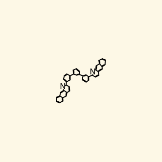 c1cc(-c2cccc(-c3ccc4cc5ccccc5cc4n3)c2)cc(-c2cccc(-c3ccc4cc5ccccc5cc4n3)c2)c1